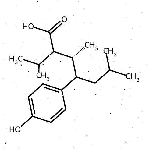 CC(C)CC(c1ccc(O)cc1)[C@@H](C)C(C(=O)O)C(C)C